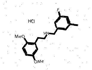 COc1ccc(OC)c(CCNCc2cc(C)cc(F)c2)c1.Cl